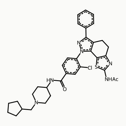 CC(=O)Nc1nc2c(s1)-c1c(c(-c3ccccc3)nn1-c1ccc(C(=O)NC3CCN(CC4CCCC4)CC3)cc1Cl)CC2